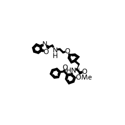 COC(=O)[C@H](Cc1ccc(OCCNCc2nc3ccccc3o2)cc1)Nc1ccccc1C(=O)c1ccccc1